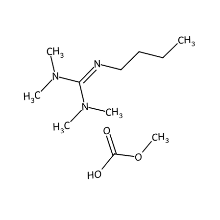 CCCCN=C(N(C)C)N(C)C.COC(=O)O